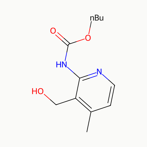 CCCCOC(=O)Nc1nccc(C)c1CO